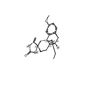 C=C1NC(=O)N[C@]12CC[C@@]1(O)[C@H]3Cc4ccc(OC)cc4[C@@]1(CCN3CC)C2